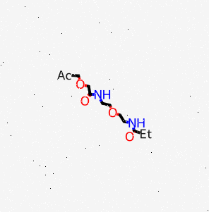 CCC(=O)NCCOCCNC(=O)COCC(C)=O